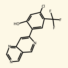 Oc1cc(Cl)c(C(F)(F)F)cc1-c1cc2ncncc2cn1